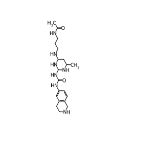 CC(=O)NCCCNC1CC(C)NC(NC(=O)Nc2ccc3c(c2)CCNC3)N1